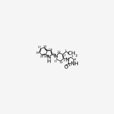 CCC1=C(N2CCNC2=O)CCN(c2cc3ccccc3[nH]2)C1